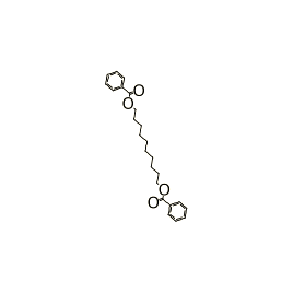 O=C(OCCCCCCCCCCOC(=O)c1ccccc1)c1ccccc1